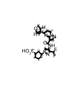 O=C(Nc1cn(C2CCCC(C(=O)O)C2)nc1C(F)F)c1cnn2ccc(N3C[C@H]4C[C@@H]3CO4)nc12